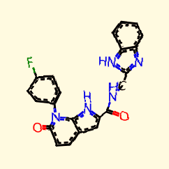 O=C(NCc1nc2ccccc2[nH]1)c1cc2ccc(=O)n(-c3ccc(F)cc3)c2[nH]1